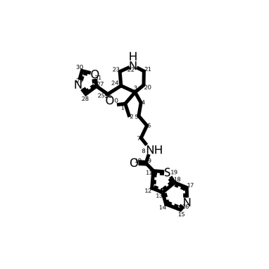 CC(C)C1(CCCCNC(=O)c2cc3ccncc3s2)CCNCC1C(=O)c1cnco1